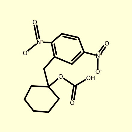 O=C(O)OC1(Cc2cc([N+](=O)[O-])ccc2[N+](=O)[O-])CCCCC1